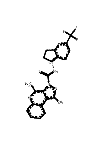 Cc1nn(C(=O)N[C@@H]2CCc3nc(C(F)(F)F)ccc32)c2c(C)nc3ccccc3c12